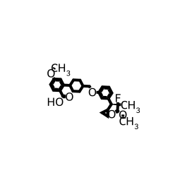 COC(=O)C(C)(F)[C@H](c1cccc(OCC2CCC(c3cc(OC)ccc3C(=O)O)CC2)c1)C1CC1